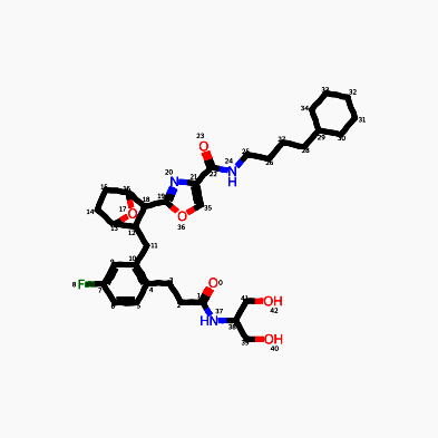 O=C(CCc1ccc(F)cc1CC1C2CCC(O2)C1c1nc(C(=O)NCCCCC2CCCCC2)co1)NC(CO)CO